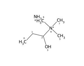 CCC(O)[N+](C)(C)C.N